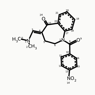 CN(C)/C=C1\CCN(C(=O)c2ccc([N+](=O)[O-])cc2)c2ccccc2C1=O